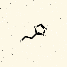 FCCc1nnco1